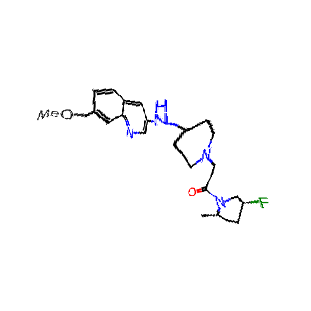 COc1ccc2cc(NC3CCN(CC(=O)N4C[C@@H](F)C[C@H]4C)CC3)cnc2c1